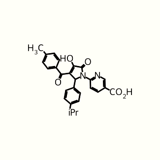 Cc1ccc(C(=O)C2=C(O)C(=O)N(c3ccc(C(=O)O)cn3)C2c2ccc(C(C)C)cc2)cc1